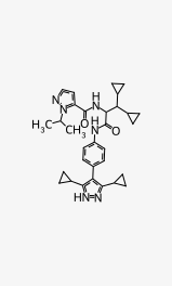 CC(C)n1nccc1C(=O)NC(C(=O)Nc1ccc(-c2c(C3CC3)n[nH]c2C2CC2)cc1)C(C1CC1)C1CC1